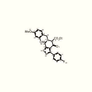 CCOC(=O)C1C(=O)c2c(-c3ccc(F)cc3)nsc2CN1Cc1ccc(OC)cc1OC